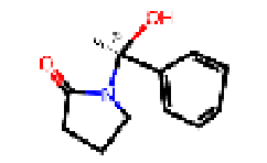 C[C@](O)(c1ccccc1)N1CCCC1=O